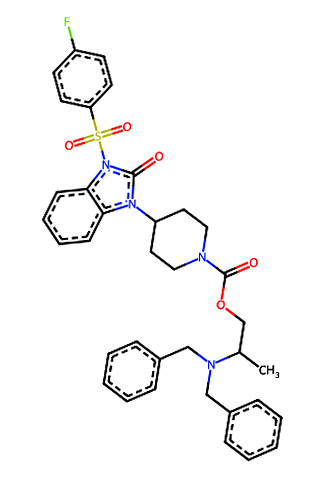 CC(COC(=O)N1CCC(n2c(=O)n(S(=O)(=O)c3ccc(F)cc3)c3ccccc32)CC1)N(Cc1ccccc1)Cc1ccccc1